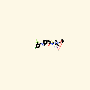 CONC(=O)C1CN(C2=NC(=O)C(=Cc3ccc4c(cnn4Cc4ccc(Cl)cc4C(F)(F)F)c3)S2)CCN1C(=O)OC(C)(C)C